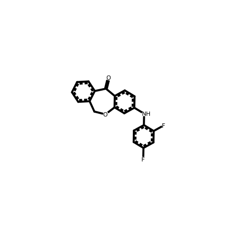 O=C1c2ccccc2COc2cc(Nc3ccc(F)cc3F)ccc21